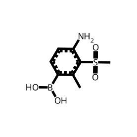 Cc1c(B(O)O)ccc(N)c1S(C)(=O)=O